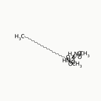 CCCCCCCCCCCCCCCCCCCCCCCCCCCCCC(=O)N[C@@H](CSSCC(N)C(=O)OC)C(=O)OC